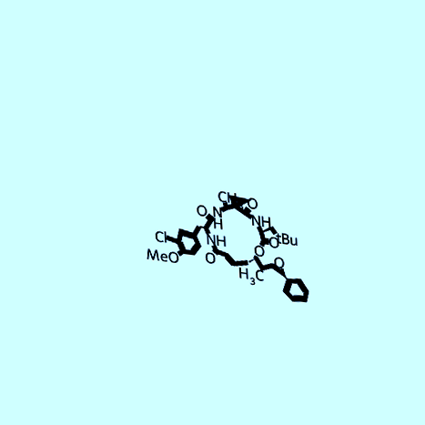 COc1ccc(C[C@H]2NC(=O)/C=C/C[C@@H]([C@H](C)[C@H]3O[C@@H]3c3ccccc3)OC(=O)[C@H](CC(C)(C)C)NC(=O)C3(CC3)C(C)NC2=O)cc1Cl